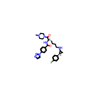 CN1CCN(C(=O)[C@H](CCCCNC2C[C@H]2c2ccc(F)cc2)NC(=O)c2ccc(-n3ccnn3)cc2)CC1